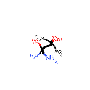 NC(N)(O)C(O)([N+](=O)[O-])[N+](=O)[O-]